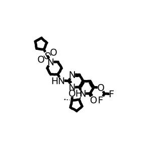 C[C@@]1(O)CCC[C@H]1n1c(=O)c(OC(F)F)cc2cnc(NC3CCN(S(=O)(=O)C4CCCC4)CC3)nc21